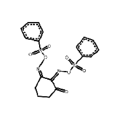 O=C1CCCC(=NOS(=O)(=O)c2ccccc2)C1=NOS(=O)(=O)c1ccccc1